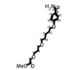 COC(=O)COCCCOCCCCCOc1ccc([C@H](C)N)cc1